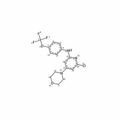 FC(F)(F)Oc1ccc(Nc2cc(N3CCOCC3)cc(Cl)n2)cc1